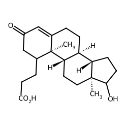 C[C@]12CC[C@H]3[C@@H](CCC4=CC(=O)CC(CCC(=O)O)[C@@]43C)[C@@H]1CCC2O